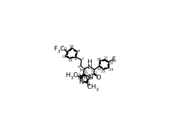 CNC(=O)C(N[C@H](CCc1ccc(C(F)(F)F)cc1)c1sc(C)nc1C)c1ccc(F)cc1